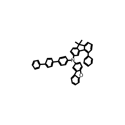 CC1(C)c2ccc(N(c3ccc(-c4ccc(-c5ccccc5)cc4)cc3)c3ccc4oc5ccccc5c4c3)cc2-c2c(-c3ccccc3)cccc21